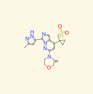 Cc1cc(-c2ncc3c(C4(C[SH](=O)=O)CC4)cc(N4CCOC[C@H]4C)nn23)[nH]n1